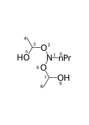 CCCN(OC(C)O)OC(C)O